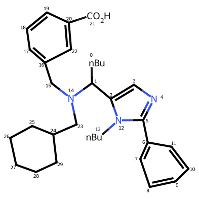 CCCCC(c1cnc(-c2ccccc2)n1CCCC)N(Cc1cccc(C(=O)O)c1)CC1CCCCC1